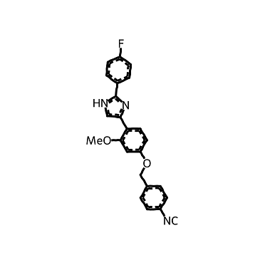 [C-]#[N+]c1ccc(COc2ccc(-c3c[nH]c(-c4ccc(F)cc4)n3)c(OC)c2)cc1